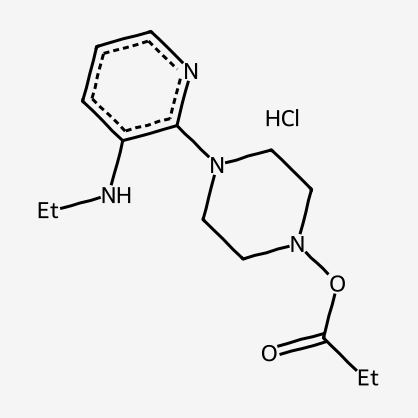 CCNc1cccnc1N1CCN(OC(=O)CC)CC1.Cl